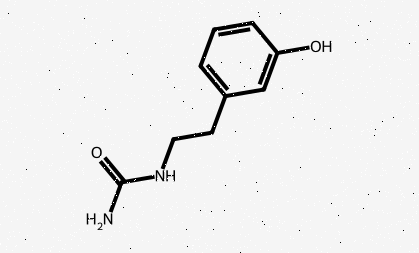 NC(=O)NCCc1cccc(O)c1